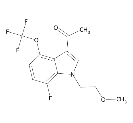 COCCn1cc(C(C)=O)c2c(OC(F)(F)F)ccc(F)c21